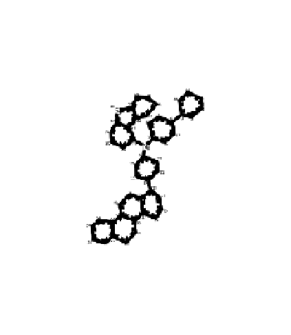 c1ccc(-c2ccc(N(c3ccc(-c4cccc5c4ccc4c6ccccc6ccc54)cc3)c3cccc4sc5ccccc5c34)cc2)cc1